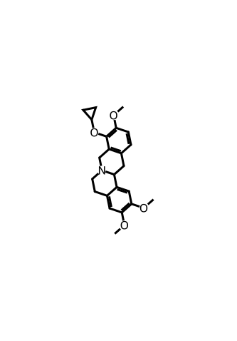 COc1cc2c(cc1OC)C1Cc3ccc(OC)c(OC4CC4)c3CN1CC2